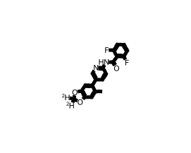 [2H]C1([2H])Oc2cc(C)c(-c3ccc(NC(=O)c4c(F)cccc4F)nc3)cc2O1